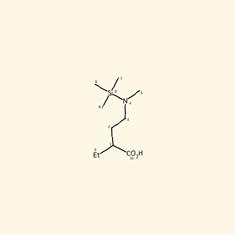 CCC(CCN(C)[Si](C)(C)C)C(=O)O